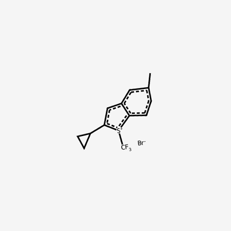 Cc1ccc2c(c1)cc(C1CC1)[s+]2C(F)(F)F.[Br-]